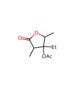 CCC1(OC(C)=O)C(C)OC(=O)C1C